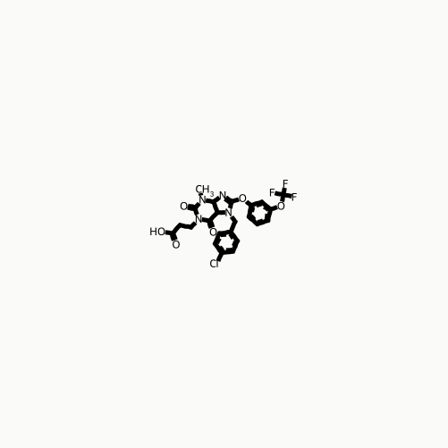 CN1C(=O)N(CCC(=O)O)C(=O)C2C1N=C(Oc1cccc(OC(F)(F)F)c1)N2Cc1ccc(Cl)cc1